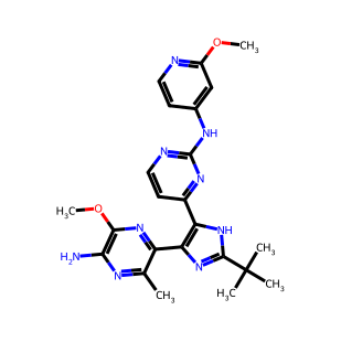 COc1cc(Nc2nccc(-c3[nH]c(C(C)(C)C)nc3-c3nc(OC)c(N)nc3C)n2)ccn1